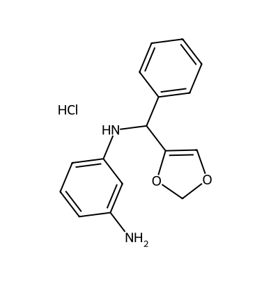 Cl.Nc1cccc(NC(C2=COCO2)c2ccccc2)c1